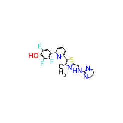 Cc1nc(CNc2ncccn2)sc1-c1cccc(-c2cc(F)c(O)c(F)c2F)n1